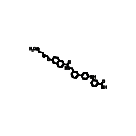 COCCOCOc1ccc2cc(C(=O)NCc3cccc(-c4ccc(Nc5cccc(C(=O)O)c5)cc4)c3)ccc2c1